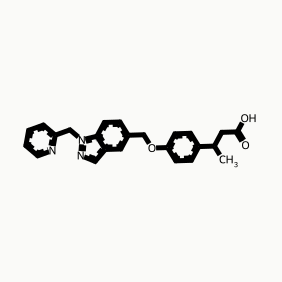 CC(CC(=O)O)c1ccc(OCc2ccc3c(cnn3Cc3ccccn3)c2)cc1